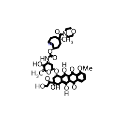 COc1cccc2c1C(=O)c1c(O)c3c(c(O)c1C2=O)C[C@@](O)(C(=O)CO)C[C@@H]3O[C@H]1C[C@H](NC(=O)O[C@H]2/C=C/CC[C@@](C)(C(=O)N3CCOCC3)CC2)[C@H](O)[C@H](C)O1